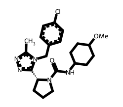 COC1CCC(NC(=O)N2CCC[C@@H]2c2nnc(C)n2Cc2ccc(Cl)cc2)CC1